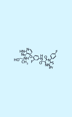 CC(C)n1nc(C(=O)Nc2ccc(Oc3ccnc4[nH]nc(N[C@H](C)CO)c34)c(F)c2)c(=O)n(-c2ccc(F)cc2)c1=S